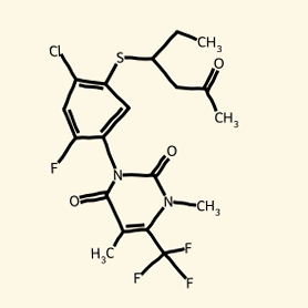 CCC(CC(C)=O)Sc1cc(-n2c(=O)c(C)c(C(F)(F)F)n(C)c2=O)c(F)cc1Cl